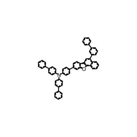 c1ccc(-c2ccc(N(c3ccc(-c4ccccc4)cc3)c3ccc(-c4ccc5c(c4)oc4c6ccccc6c(-c6cccc(-c7ccccc7)c6)cc54)cc3)cc2)cc1